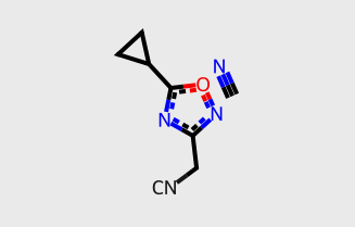 C#N.[C-]#[N+]Cc1noc(C2CC2)n1